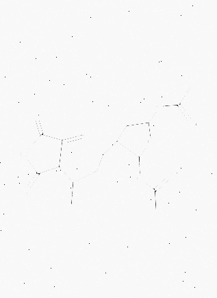 CC(=O)OC1CC(C2C=C3C(=O)OC(=O)C3C(C)C2)C(OC(C)=O)O1